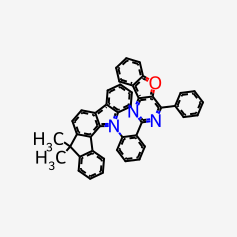 CC1(C)c2ccccc2-c2c1ccc1c3ccccc3n(-c3ccccc3-c3nc(-c4ccccc4)c4oc5ccccc5c4n3)c21